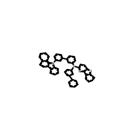 c1ccc(-c2cccc(N(c3cccc(-c4cccc(-n5c6ccccc6c6ccc7ccccc7c65)c4)c3)c3ccc4oc5ccccc5c4n3)c2)cc1